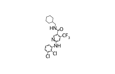 O=C(NCC1CCCCC1)c1cnc(Nc2cccc(Cl)c2Cl)cc1C(F)(F)F